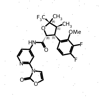 COc1c([C@H]2[C@H](C(=O)Nc3ccnc(-n4ccoc4=O)c3)O[C@@](C)(C(F)(F)F)[C@H]2C)ccc(F)c1F